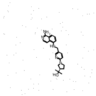 CC(C)(O)[C@@H]1CCN(c2ccc(CNc3cccc4c(N)nccc34)cn2)C1